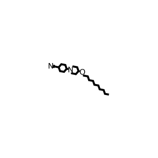 CCCCCCCCCCOC1CCN(C2CCC(C#N)CC2)CC1